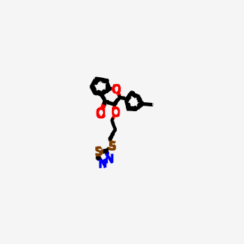 Cc1ccc(C2Oc3ccccc3C(=O)C2OCCCSc2nncs2)cc1